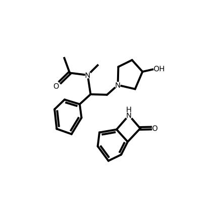 CC(=O)N(C)C(CN1CCC(O)C1)c1ccccc1.O=C1Nc2ccccc21